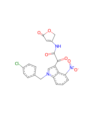 O=C1C=C(NC(=O)C(=O)c2cn(Cc3ccc(Cl)cc3)c3cccc([N+](=O)[O-])c23)CO1